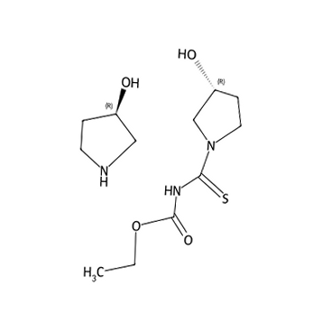 CCOC(=O)NC(=S)N1CC[C@@H](O)C1.O[C@@H]1CCNC1